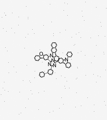 c1ccc(-c2cccc(-c3nc(-c4ccc5c(c4)c4ccccc4n5-c4ccccc4)nc(-c4cc5c(cc4-n4c6ccccc6c6cc7ccccc7cc64)oc4ccccc45)n3)c2)cc1